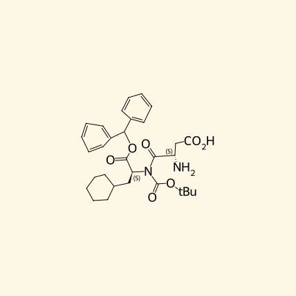 CC(C)(C)OC(=O)N(C(=O)[C@@H](N)CC(=O)O)[C@@H](CC1CCCCC1)C(=O)OC(c1ccccc1)c1ccccc1